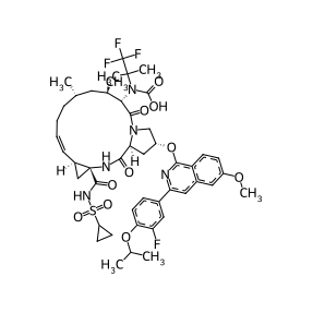 COc1ccc2c(O[C@@H]3C[C@H]4C(=O)N[C@]5(C(=O)NS(=O)(=O)C6CC6)C[C@H]5/C=C\CC[C@H](C)C[C@@H](C)[C@H](N(C(=O)O)C(C)(C)C(F)(F)F)C(=O)N4C3)nc(-c3ccc(OC(C)C)c(F)c3)cc2c1